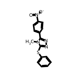 Cn1c(Sc2ccccc2)nnc1-c1[c]cc([N+](=O)[O-])cc1